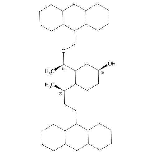 C[C@H](CCC1C2CCCCC2CC2CCCCC21)C1CC[C@H](O)CC1[C@@H](C)OCC1C2CCCCC2CC2CCCCC21